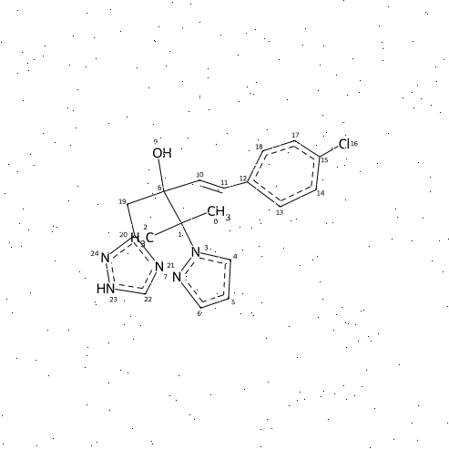 CC(C)(n1cccn1)C(O)(C=Cc1ccc(Cl)cc1)Cc1nc[nH]n1